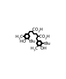 Cc1cc(CC(CCC(Cc2cc(C)c(O)c(C(C)(C)C)c2)C(=O)O)C(=O)O)cc(C(C)(C)C)c1O